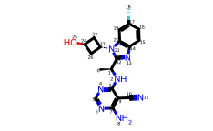 C[C@H](Nc1ncnc(N)c1C#N)c1nc2ccc(F)cc2n1[C@H]1C[C@H](O)C1